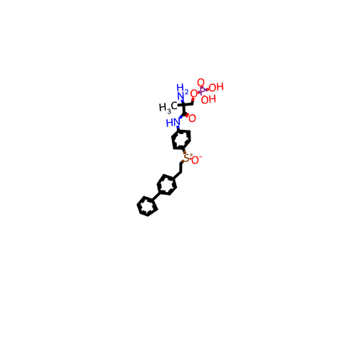 CC(N)(COP(=O)(O)O)C(=O)Nc1ccc([S@@+]([O-])CCc2ccc(-c3ccccc3)cc2)cc1